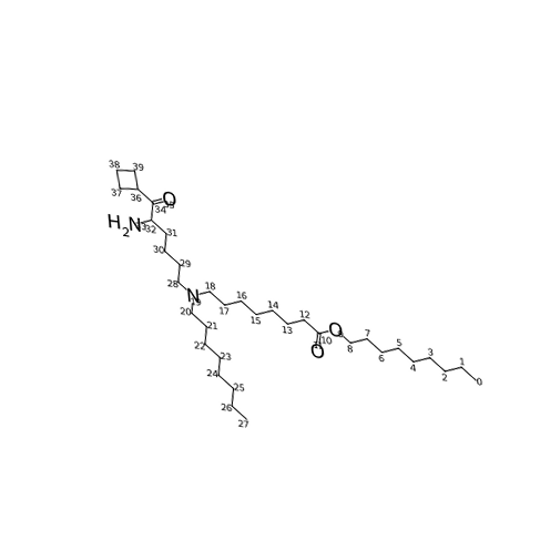 CCCCCCCCCOC(=O)CCCCCCCN(CCCCCCCC)CCCCC(N)C(=O)C1CCC1